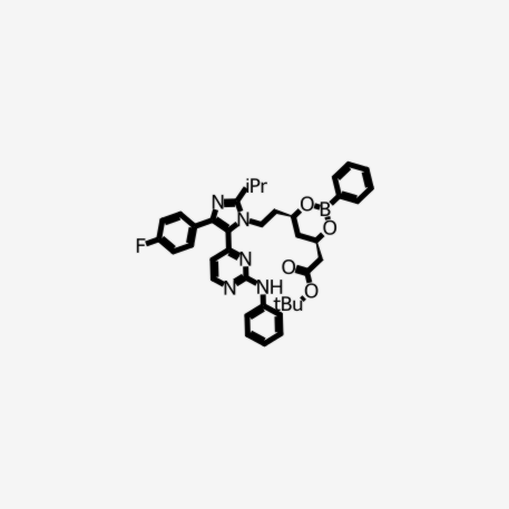 CC(C)c1nc(-c2ccc(F)cc2)c(-c2ccnc(Nc3ccccc3)n2)n1CC[C@@H]1C[C@H](CC(=O)OC(C)(C)C)OB(c2ccccc2)O1